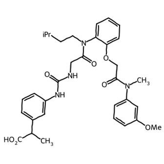 COc1cccc(N(C)C(=O)COc2ccccc2N(CCC(C)C)C(=O)CNC(=O)Nc2cccc(C(C)C(=O)O)c2)c1